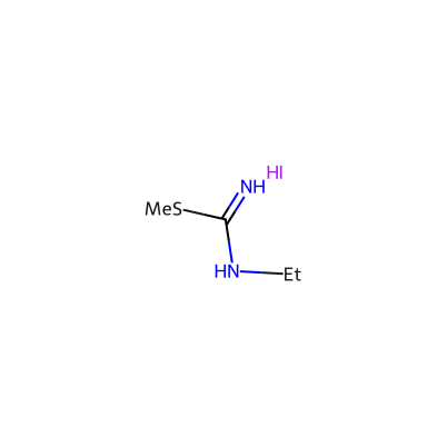 CCNC(=N)SC.I